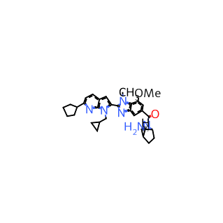 COc1cc(C(=O)N2CC3CCC2[C@@H]3N)cc2nc(-c3cc4ccc(C5CCCC5)nc4n3CC3CC3)n(C)c12